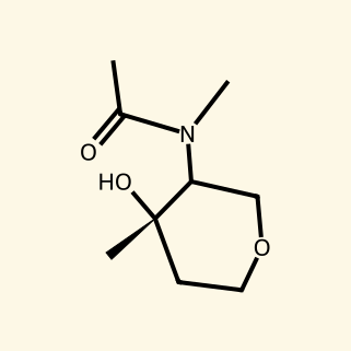 CC(=O)N(C)C1COCC[C@]1(C)O